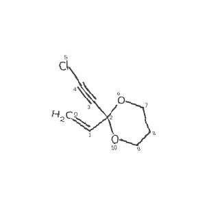 C=CC1(C#CCl)OCCCO1